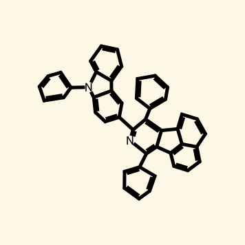 c1ccc(-c2nc(-c3ccc4c(c3)c3ccccc3n4-c3ccccc3)c(-c3ccccc3)c3c2-c2cccc4cccc-3c24)cc1